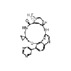 CN1CC[C@H]2C[C@H]1C(=O)NCC1(CC1)COc1c(-c3cncnc3)ccc3ncc(nc13)N2